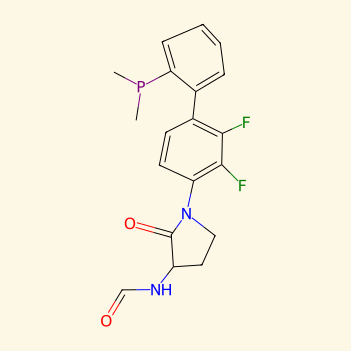 CP(C)c1ccccc1-c1ccc(N2CCC(NC=O)C2=O)c(F)c1F